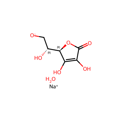 O.O=C1O[C@H]([C@H](O)C[O-])C(O)=C1O.[Na+]